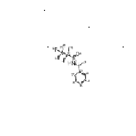 CC(NC(=O)C(F)(F)C(F)(F)F)c1ccccc1